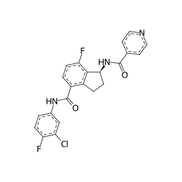 O=C(N[C@H]1CCc2c(C(=O)Nc3ccc(F)c(Cl)c3)ccc(F)c21)c1ccncc1